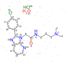 CN(C)CCCNC(=O)Cn1c(-c2ccc(Cl)cc2)nc2cccnc21.Cl.O